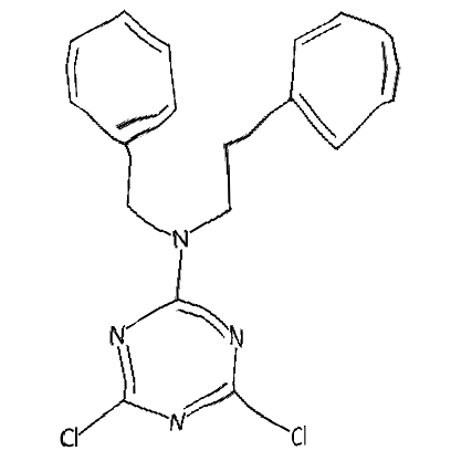 Clc1nc(Cl)nc(N(CCc2ccccc2)Cc2ccccc2)n1